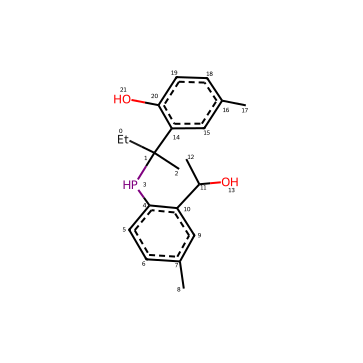 CCC(C)(Pc1ccc(C)cc1C(C)O)c1cc(C)ccc1O